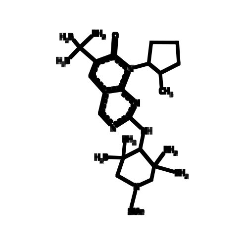 BC(B)(B)c1cc2cnc(NC3C(B)(B)CN(SC)CC3(B)B)nc2n(C2CCCC2C)c1=O